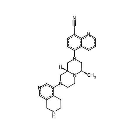 C[C@@H]1CN(c2ccc(C#N)c3ncccc23)C[C@H]2CN(c3cncc4c3CCNC4)CCN21